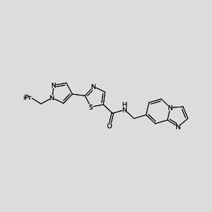 CC(C)Cn1cc(-c2ncc(C(=O)NCc3ccn4ccnc4c3)s2)cn1